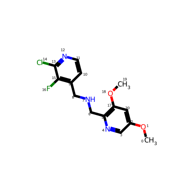 COc1cnc(CNCc2ccnc(Cl)c2F)c(OC)c1